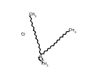 CCCCCCCCCCCCCCCCCCC(CCCCCCCCCCCCCCCCCC)n1cc[n+](C)c1.[Cl-]